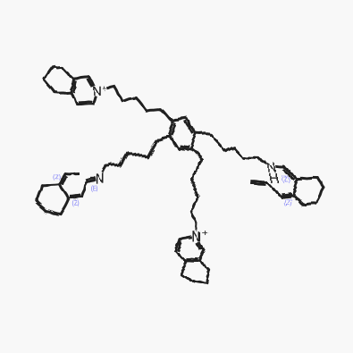 C=C/C=C1/CCCC/C1=C/NCCCCCc1cc(CCCCC[n+]2ccc3c(c2)CCCC3)c(CCCCC/N=C/C=C2/CCCC/C2=C/C)cc1CCCCC[n+]1ccc2c(c1)CCCC2